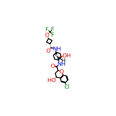 O=C(NC12CCC(NC(=O)[C@H]3C[C@@H](OC(F)(F)F)C3)(CC1)C[C@@H]2O)C1CC(O)c2cc(Cl)ccc2O1